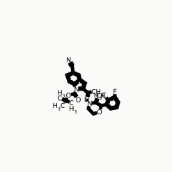 C=C1C(c2cccc(F)c2C)OCCN1/N=C(\C)c1cc2cc(C#N)ccc2n1C(=O)OC(C)(C)C